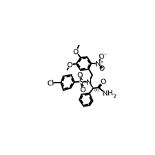 COc1cc(CN([C@@H](C(N)=O)c2ccccc2)S(=O)(=O)c2ccc(Cl)cc2)c([N+](=O)[O-])cc1OC